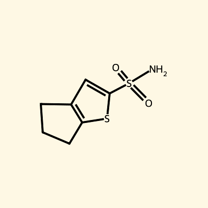 NS(=O)(=O)c1cc2c(s1)CCC2